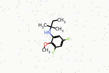 CCC(C)(C)Nc1cc(F)cc(F)c1OC